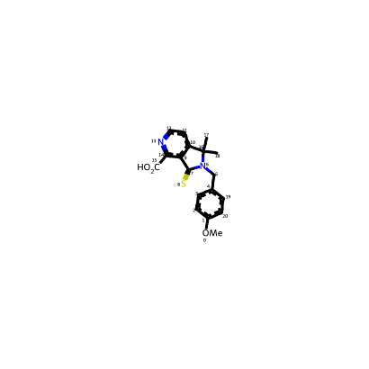 COc1ccc(CN2C(=S)c3c(ccnc3C(=O)O)C2(C)C)cc1